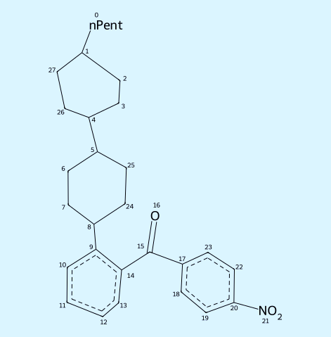 CCCCCC1CCC(C2CCC(c3ccccc3C(=O)c3ccc([N+](=O)[O-])cc3)CC2)CC1